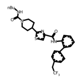 CCCCNC(=O)N1CCC(c2nc(C(=O)Nc3ccccc3-c3ccc(CC(F)(F)F)cc3)cs2)CC1